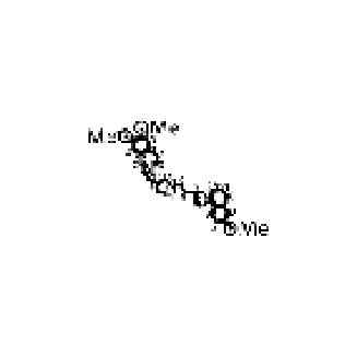 COc1ccc2c(OCCCN3CCC(CN4CCc5cc(OC)c(OC)cc5C4)C3)cccc2c1